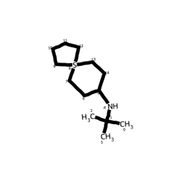 CC(C)(C)NC1CCS2(CCCC2)CC1